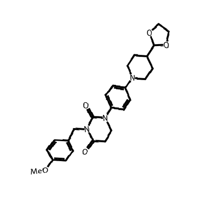 COc1ccc(CN2C(=O)CCN(c3ccc(N4CCC(C5OCCO5)CC4)cc3)C2=O)cc1